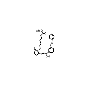 COC(=O)CCCCCCN1C(=O)CCC1C=CC(O)c1cccc(COc2ccccc2)c1